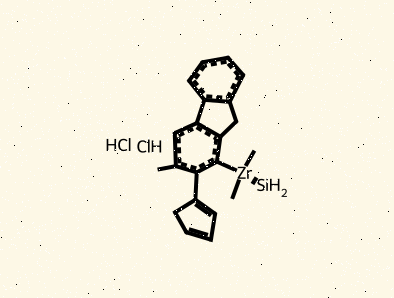 Cc1cc2c([c]([Zr]([CH3])([CH3])=[SiH2])c1C1=CC=CC1)Cc1ccccc1-2.Cl.Cl